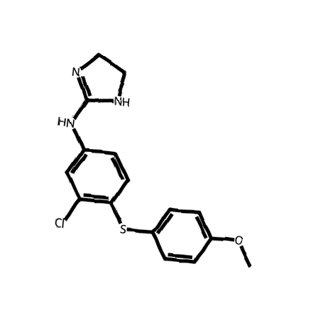 COc1ccc(Sc2ccc(NC3=NCCN3)cc2Cl)cc1